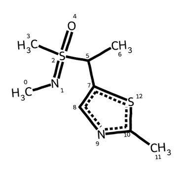 CN=S(C)(=O)C(C)c1cnc(C)s1